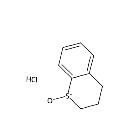 Cl.[O-][S+]1CCCc2ccccc21